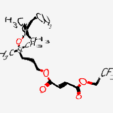 C[Si](C)(C)O[Si](C)(C)CCCOC(=O)C=CC(=O)OCC(F)(F)F